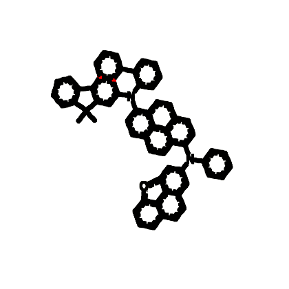 CC1(C)c2ccccc2-c2ccc(N(c3ccccc3-c3ccccc3)c3ccc4ccc5c(N(c6ccccc6)c6cc7ccc8cccc9oc(c6)c7c89)ccc6ccc3c4c65)cc21